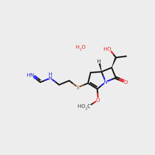 CC(O)[C@H]1C(=O)N2C(OC(=O)O)=C(SCCNC=N)C[C@H]12.O